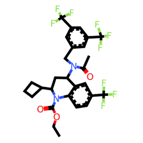 CCOC(=O)N1c2ccc(C(F)(F)F)cc2C(N(Cc2cc(C(F)(F)F)cc(C(F)(F)F)c2)C(C)=O)CC1C1CCC1